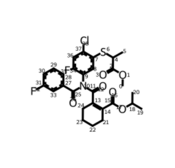 COC(=O)C(C)Sc1cc(N(C(=O)C2=C(C(=O)OC(C)C)CCCC2)C(=O)c2cccc(F)c2)c(F)cc1Cl